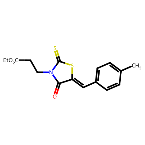 CCOC(=O)CCN1C(=O)C(=Cc2ccc(C)cc2)SC1=S